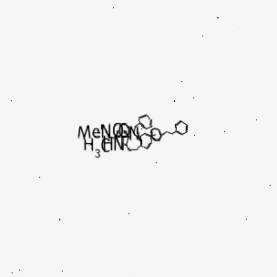 CNC(C)C(=O)NC1CCc2ccc(OCCCc3ccccc3)cc2N(Cc2ccccc2)C1=O